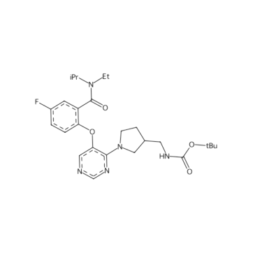 CCN(C(=O)c1cc(F)ccc1Oc1cncnc1N1CCC(CNC(=O)OC(C)(C)C)C1)C(C)C